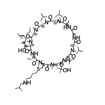 C/C=C/C[C@@H](C)[C@@H](O)[C@H]1C(=O)N[C@@H](CC)C(=O)N(C)[C@H](CSCCCCNCC(C)C)C(=O)N(C)[C@@H](CC(C)(C)O)C(=O)N[C@@H](C(C)C)C(=O)N(C)[C@@H](CC(C)C)C(=O)N[C@@H](C)C(=O)N[C@H](C)C(=O)N(C)[C@@H](CC(C)C)C(=O)N(C)[C@@H](CC(C)C)C(=O)N(C)[C@@H](C(C)C)C(=O)N1C